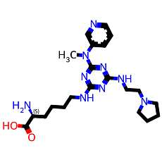 CN(c1cccnc1)c1nc(NCCCC[C@H](N)C(=O)O)nc(NCCN2CCCC2)n1